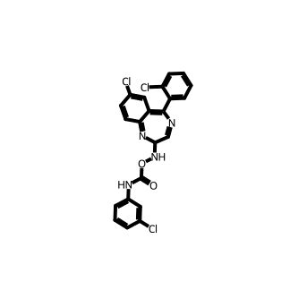 O=C(Nc1cccc(Cl)c1)ONC1C=NC(c2ccccc2Cl)=c2cc(Cl)ccc2=N1